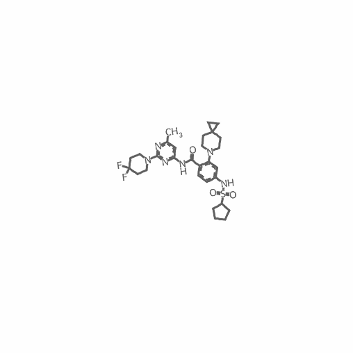 Cc1cc(NC(=O)c2ccc(NS(=O)(=O)C3CCCC3)cc2N2CCC3(CC2)CC3)nc(N2CCC(F)(F)CC2)n1